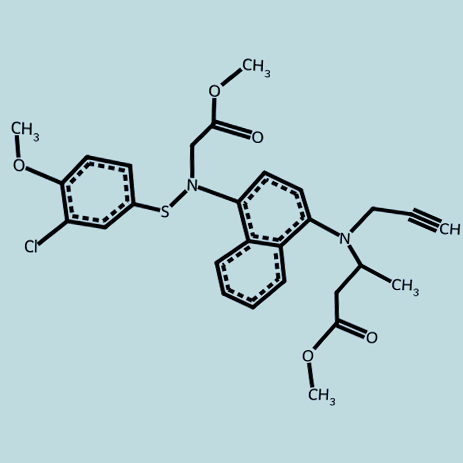 C#CCN(c1ccc(N(CC(=O)OC)Sc2ccc(OC)c(Cl)c2)c2ccccc12)C(C)CC(=O)OC